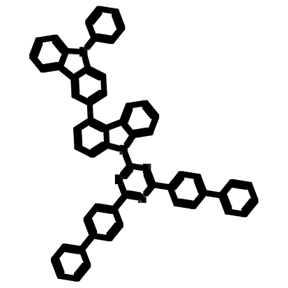 c1ccc(-c2ccc(-c3nc(-c4ccc(-c5ccccc5)cc4)nc(-n4c5ccccc5c5c(-c6ccc7c(c6)c6ccccc6n7-c6ccccc6)cccc54)n3)cc2)cc1